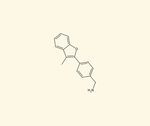 [CH2]c1c(-c2ccc(CN)cc2)oc2ccccc12